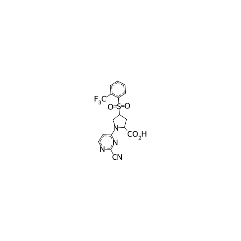 N#Cc1nccc(N2CC(S(=O)(=O)c3ccccc3C(F)(F)F)CC2C(=O)O)n1